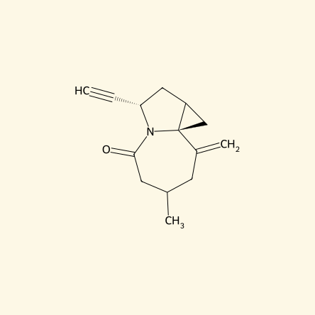 C#C[C@@H]1CC2C[C@]23C(=C)CC(C)CC(=O)N13